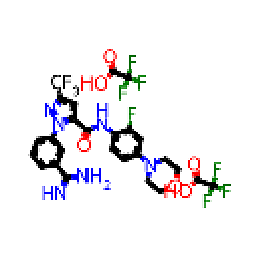 N=C(N)c1cccc(-n2nc(C(F)(F)F)cc2C(=O)Nc2ccc(N3CCOCC3)cc2F)c1.O=C(O)C(F)(F)F.O=C(O)C(F)(F)F